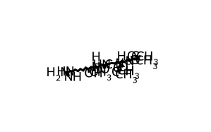 CC(C)(C)OC(=O)NCCCN(CCCCNC(=O)CCNC(=O)CC(O)CCCCCCNC(=N)N)C(=O)OC(C)(C)C